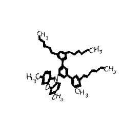 CCCCCCc1cc(C)cc(-c2cc(-c3cc(CCCCCC)cc(CCCCCC)c3)cc(N3c4ccc(C)cc4Oc4cc(C)ccc43)c2)c1